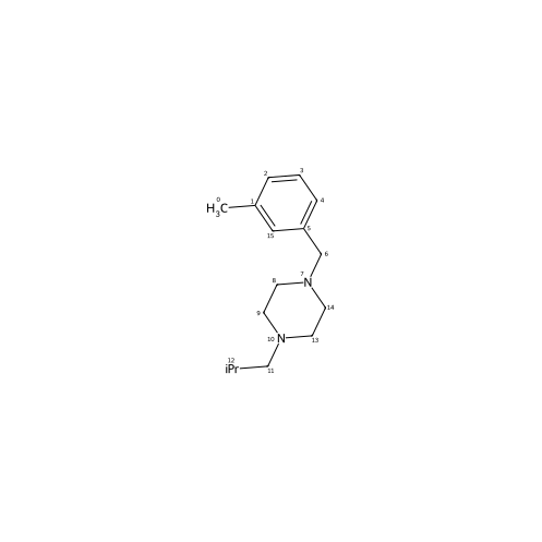 Cc1cccc(CN2CCN(CC(C)C)CC2)c1